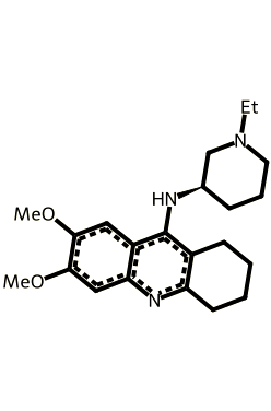 CCN1CCC[C@@H](Nc2c3c(nc4cc(OC)c(OC)cc24)CCCC3)C1